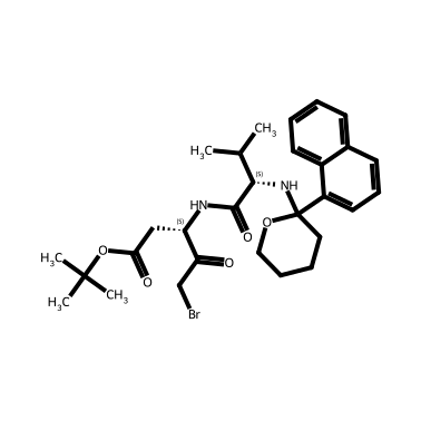 CC(C)[C@H](NC1(c2cccc3ccccc23)CCCCO1)C(=O)N[C@@H](CC(=O)OC(C)(C)C)C(=O)CBr